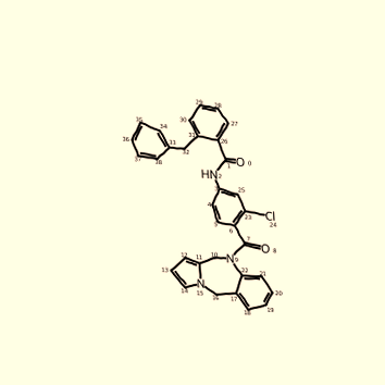 O=C(Nc1ccc(C(=O)N2Cc3cccn3Cc3ccccc32)c(Cl)c1)c1ccccc1Cc1ccccc1